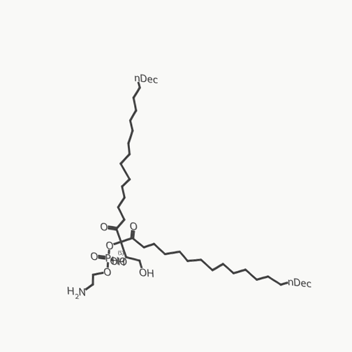 CCCCCCCCCCCCCCCCCCCCCCCC(=O)C(OP(=O)(O)OCCN)(C(=O)CCCCCCCCCCCCCCCCCCCCCCC)[C@@H](O)CO